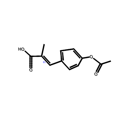 CC(=O)Oc1ccc(/C=C(\C)C(=O)O)cc1